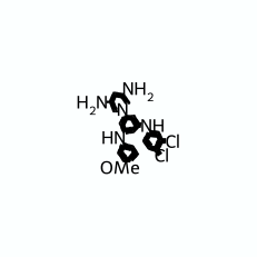 COc1ccc(Nc2cc(Nc3ccc(Cl)c(Cl)c3)cc(N3C[C@H](N)C[C@H](N)C3)c2)cc1